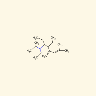 C=C(C=C(C)C)C(CC)C(CC)N(CC)C(=C)C